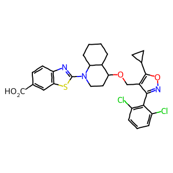 O=C(O)c1ccc2nc(N3CCC(OCc4c(-c5c(Cl)cccc5Cl)noc4C4CC4)C4CCCCC43)sc2c1